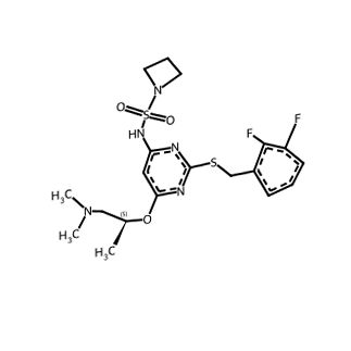 C[C@@H](CN(C)C)Oc1cc(NS(=O)(=O)N2CCC2)nc(SCc2cccc(F)c2F)n1